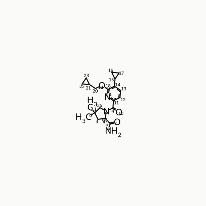 CC1(C)C[C@H](C(N)=O)N(C(=O)c2ccc(C3CC3)c(OCC3CC3)n2)C1